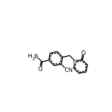 BC(=O)c1ccc(Cn2ccccc2=O)c(C#N)c1